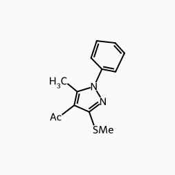 CSc1nn(-c2ccccc2)c(C)c1C(C)=O